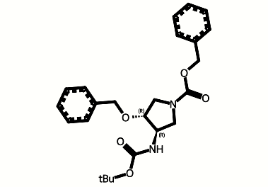 CC(C)(C)OC(=O)N[C@@H]1CN(C(=O)OCc2ccccc2)C[C@H]1OCc1ccccc1